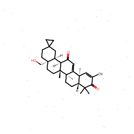 CC1(C)C(=O)C(C#N)=C[C@]2(C)C3=CC(=O)[C@@H]4[C@@H]5CC6(CC6)CC[C@]5(CO)CC[C@@]4(C)[C@]3(C)CC[C@@H]12